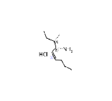 CCC/C=C\[C@@H](N)[C@@H](C)CC.Cl